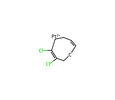 ClC1=C(Cl)CCC=CCC1.[Pt+2]